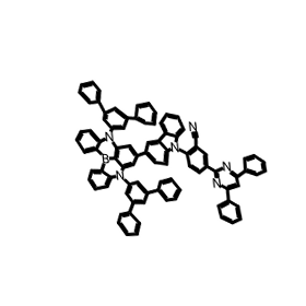 N#Cc1cc(-c2nc(-c3ccccc3)cc(-c3ccccc3)n2)ccc1-n1c2ccccc2c2cc(-c3cc4c5c(c3)N(c3cc(-c6ccccc6)cc(-c6ccccc6)c3)c3ccccc3B5c3ccccc3N4c3cc(-c4ccccc4)cc(-c4ccccc4)c3)ccc21